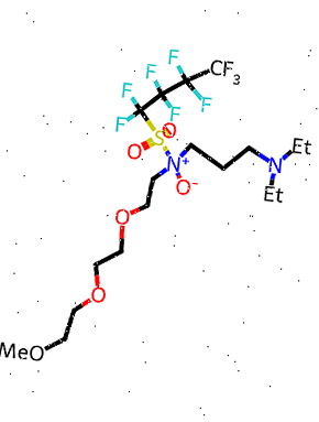 CCN(CC)CCC[N+]([O-])(CCOCCOCCOC)S(=O)(=O)C(F)(F)C(F)(F)C(F)(F)C(F)(F)F